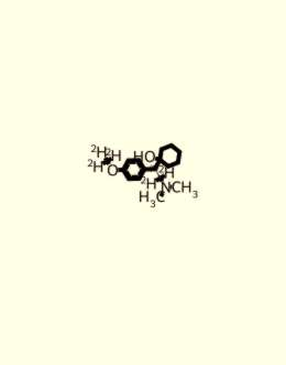 [2H]C([2H])([2H])Oc1ccc([C@H](C2(O)CCCCC2)C([2H])([2H])N(C)C)cc1